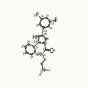 CN(C)CCNC(=O)c1cc(-c2cc(F)cc(F)c2)[nH]c1-c1ccccc1